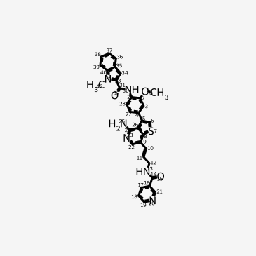 COc1cc(-c2csc3c(/C=C/CNC(=O)c4cccnc4)cnc(N)c23)ccc1NC(=O)c1cc2ccccc2n1C